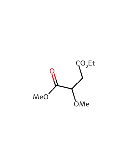 CCOC(=O)CC(OC)C(=O)OC